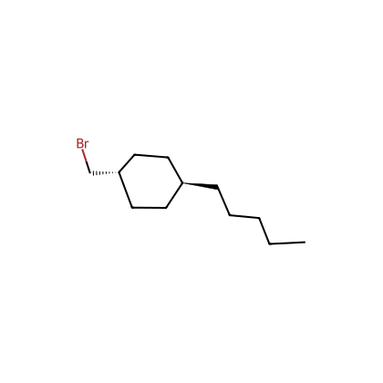 CCCCC[C@H]1CC[C@H](CBr)CC1